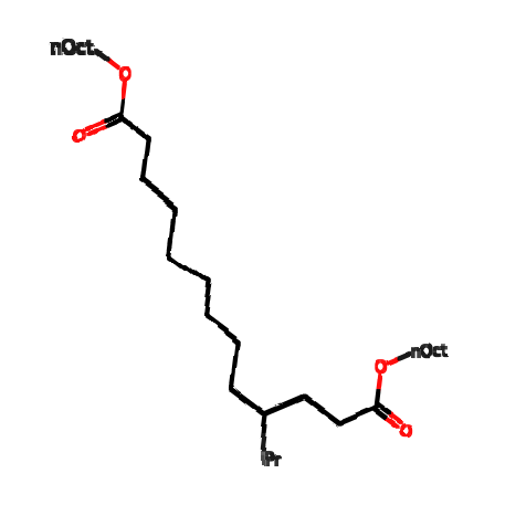 CCCCCCCCOC(=O)CCCCCCCCC(CCC(=O)OCCCCCCCC)C(C)C